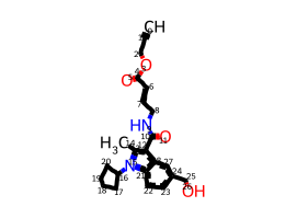 C#CCOC(=O)/C=C/CNC(=O)c1c(C)n(C2CCCC2)c2ccc(CO)cc12